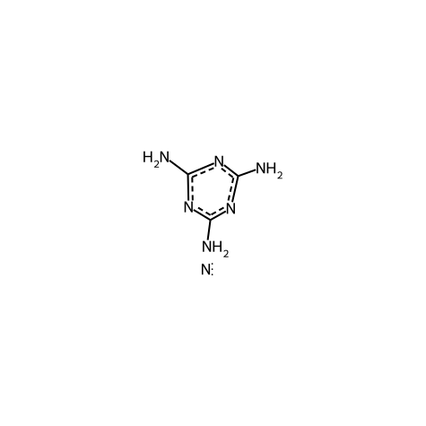 Nc1nc(N)nc(N)n1.[N]